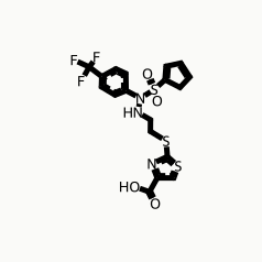 O=C(O)c1csc(SCCNN(c2ccc(C(F)(F)F)cc2)S(=O)(=O)C2=CC=CC2)n1